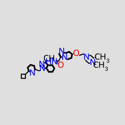 Cc1nn(Cc2cccc(C3CCC3)n2)c2cccc(NC(=O)c3cnc4cc(OCCN5CCN(C)[C@@H](C)C5)ccn34)c12